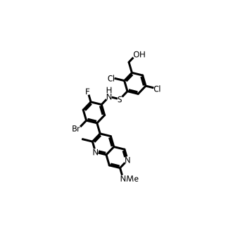 CNc1cc2nc(C)c(-c3cc(NSc4cc(Cl)cc(CO)c4Cl)c(F)cc3Br)cc2cn1